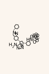 CS(=O)(=O)N(C(=O)Nc1cccc(-c2cc(-c3ccc4cn(Cc5ccccc5)nc4c3)c3c(N)ncnn23)c1)S(C)(=O)=O